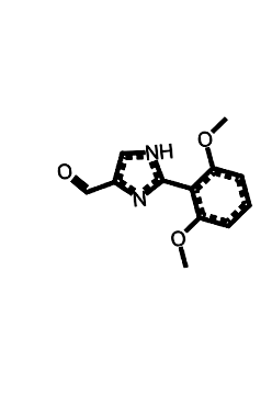 COc1cccc(OC)c1-c1nc(C=O)c[nH]1